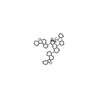 CC1(C)c2ccccc2-c2cccc(-c3c4cccc(-c5cccc6c5ccc5oc7ccccc7c56)c4cc4c(-c5cccc6c5ccc5oc7ccccc7c56)cccc34)c21